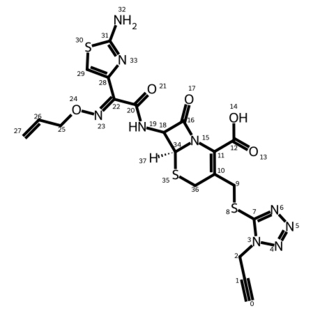 C#CCn1nnnc1SCC1=C(C(=O)O)N2C(=O)C(NC(=O)C(=NOCC=C)c3csc(N)n3)[C@@H]2SC1